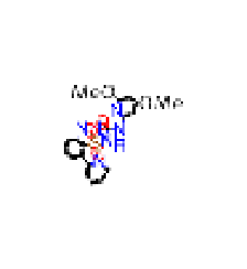 COc1cc(NC(=O)NS(=O)(=O)c2c(N)cccc2-c2ccccn2)nc(OC)c1